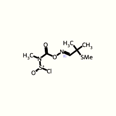 CSC(C)(C)/C=N/OC(=O)N(C)[S+]([O-])Cl